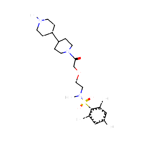 Cc1cc(C)c(S(=O)(=O)N(C)CCOCC(=O)N2CCC(C3CCN(C)CC3)CC2)c(C)c1